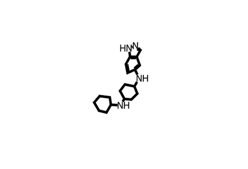 c1cc2[nH]ncc2cc1NC1CCC(NC2CCCCC2)CC1